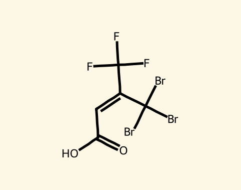 O=C(O)/C=C(/C(F)(F)F)C(Br)(Br)Br